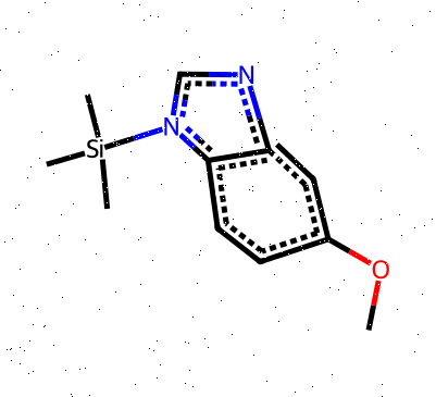 COc1ccc2c(c1)ncn2[Si](C)(C)C